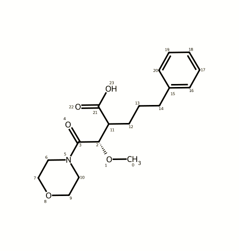 CO[C@H](C(=O)N1CCOCC1)C(CCCc1ccccc1)C(=O)O